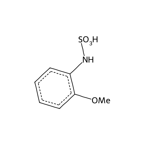 COc1ccccc1NS(=O)(=O)O